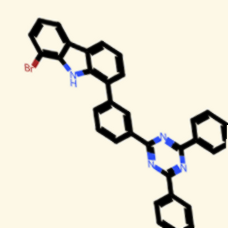 Brc1cccc2c1[nH]c1c(-c3cccc(-c4nc(-c5ccccc5)nc(-c5ccccc5)n4)c3)cccc12